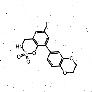 O=S1(=O)NCc2cc(F)cc(-c3ccc4c(c3)OCCO4)c2O1